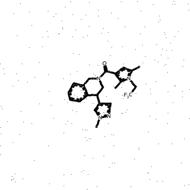 Cc1cc(C(=O)N2Cc3ccccc3C(c3cnn(C)c3)C2)c(C)n1CC(F)(F)F